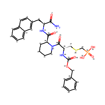 NC(=O)[C@H](Cc1ccc2ccccc2c1)NC(=O)[C@@H]1CCCCN1C(=O)[C@H](CSCP(=O)(O)O)NC(=O)OCc1ccccc1